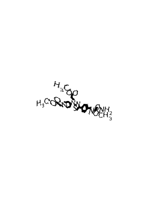 CCOC(=O)CCN(c1nc(-c2ccc(C=NC(=O)OC(C)N)cc2)cs1)C1CCN(CC(=O)OCC)CC1